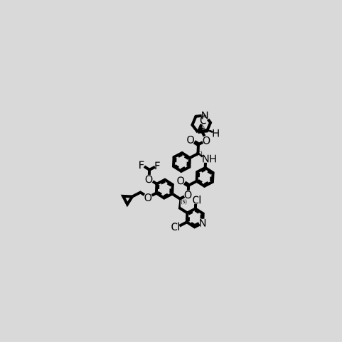 O=C(O[C@@H](Cc1c(Cl)cncc1Cl)c1ccc(OC(F)F)c(OCC2CC2)c1)c1cccc(N[C@H](C(=O)O[C@H]2CN3CCC2CC3)c2ccccc2)c1